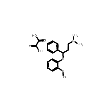 CC(C)Oc1ccccc1OC(CCN(C)C)c1ccccc1.O=C(O)C(=O)O